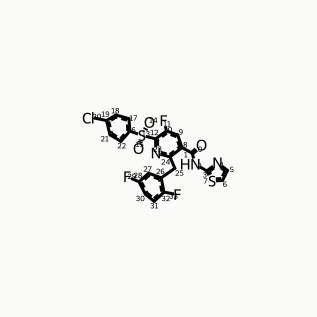 O=C(Nc1nccs1)c1cc(F)c(S(=O)(=O)c2ccc(Cl)cc2)nc1Cc1cc(F)ccc1F